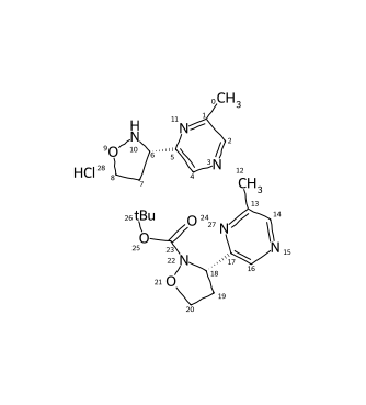 Cc1cncc([C@@H]2CCON2)n1.Cc1cncc([C@@H]2CCON2C(=O)OC(C)(C)C)n1.Cl